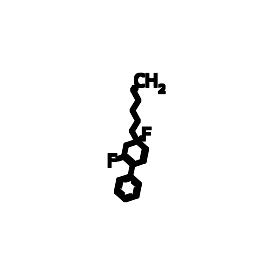 C=CCCCCC1(F)C=CC(c2ccccc2)=C(F)C1